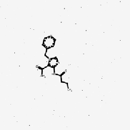 CCCC(=O)Nc1ncn(Cc2ccncc2)c1C(N)=O